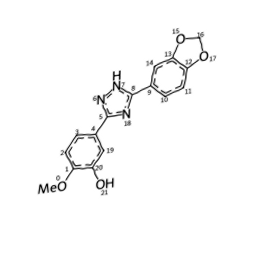 COc1ccc(-c2n[nH]c(-c3ccc4c(c3)OCO4)n2)cc1O